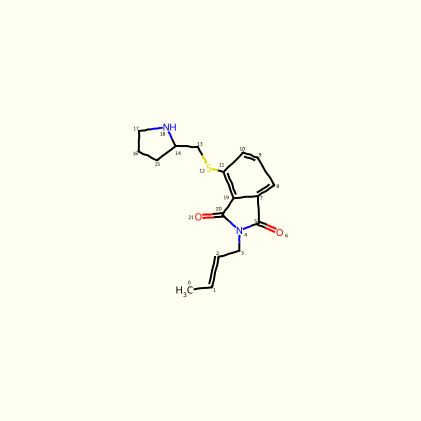 CC=CCN1C(=O)c2cccc(SCC3CCCN3)c2C1=O